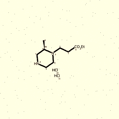 CCOC(=O)CCN1CCNC[C@H]1C.Cl.Cl